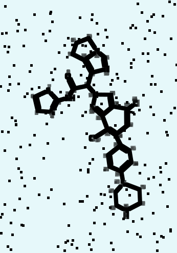 O=C(Nc1nccs1)C(c1ncn2c1CCC2)n1cc2c(Cl)cc(-c3ccc(N4CCNCC4)cc3)c(Cl)c2n1